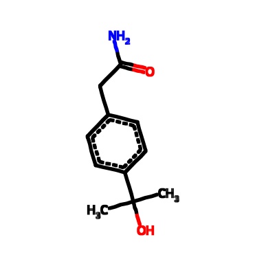 CC(C)(O)c1ccc(CC(N)=O)cc1